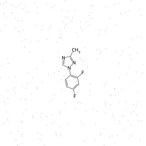 Cc1ncn(-c2ccc(F)cc2F)n1